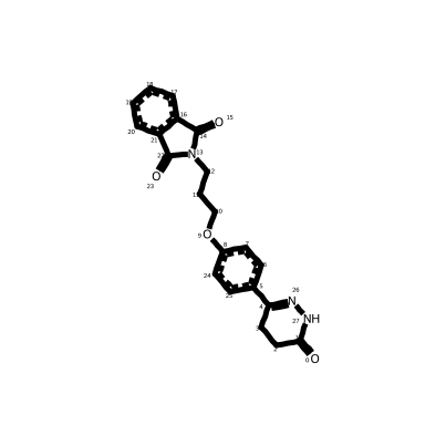 O=C1CCC(c2ccc(OCCCN3C(=O)c4ccccc4C3=O)cc2)=NN1